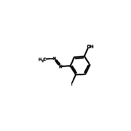 CN=Nc1cc(O)ccc1I